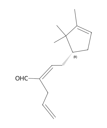 C=CCC(C=O)=CC[C@H]1CC=C(C)C1(C)C